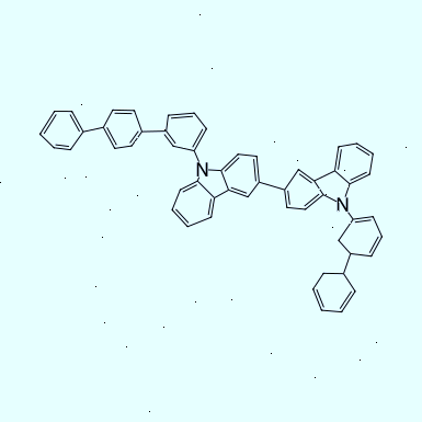 C1=CCC(C2C=CC=C(n3c4ccccc4c4cc(-c5ccc6c(c5)c5ccccc5n6-c5cccc(-c6ccc(-c7ccccc7)cc6)c5)ccc43)C2)C=C1